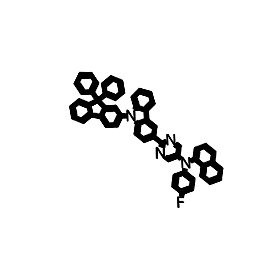 Fc1ccc(N(c2cnc(-c3ccc4c(c3)c3ccccc3n4-c3ccc4c(c3)C(c3ccccc3)(c3ccccc3)c3ccccc3-4)nc2)c2cccc3ccccc23)cc1